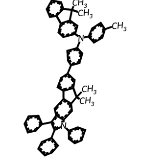 Cc1ccc(N(c2ccc(-c3ccc4c(c3)C(C)(C)c3cc5c(cc3-4)c(-c3ccccc3)c(-c3ccccc3)n5-c3ccccc3)cc2)c2ccc3c(c2)C(C)(C)c2ccccc2-3)cc1